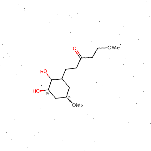 COCCC(=O)CCC1C[C@@H](OC)C[C@@H](O)C1O